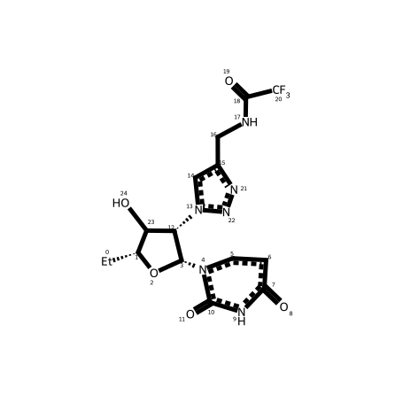 CC[C@H]1O[C@@H](n2ccc(=O)[nH]c2=O)[C@@H](n2cc(CNC(=O)C(F)(F)F)nn2)C1O